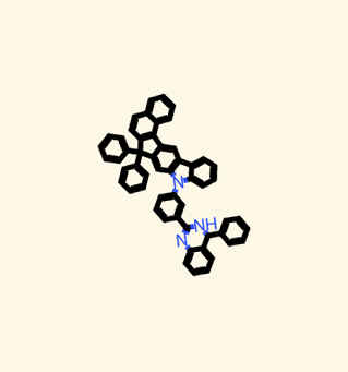 c1ccc(C2NC(c3cccc(-n4c5ccccc5c5cc6c(cc54)C(c4ccccc4)(c4ccccc4)c4ccc5ccccc5c4-6)c3)=Nc3ccccc32)cc1